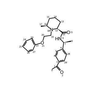 CC(=O)c1ccc([C@H](C)NC(=O)[C@@H]2CCC[C@H](C)N2CCOc2ccccc2)cc1